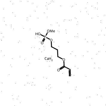 C=CC(=O)OCCCOP(=O)(O)OC.[CaH2]